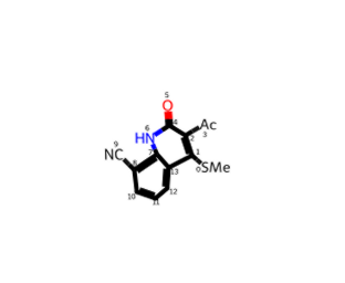 CSc1c(C(C)=O)c(=O)[nH]c2c(C#N)cccc12